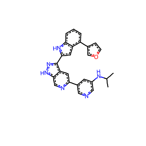 CC(C)Nc1cncc(-c2cc3c(-c4cc5c(-c6ccoc6)cccc5[nH]4)n[nH]c3cn2)c1